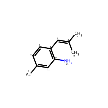 CC(=O)c1ccc(C=C(C)C)c(N)c1